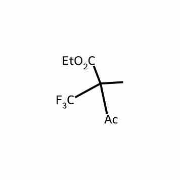 CCOC(=O)C(C)(C(C)=O)C(F)(F)F